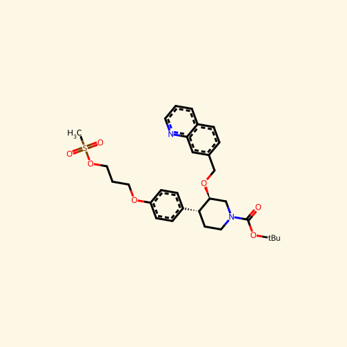 CC(C)(C)OC(=O)N1CC[C@H](c2ccc(OCCCOS(C)(=O)=O)cc2)[C@@H](OCc2ccc3cccnc3c2)C1